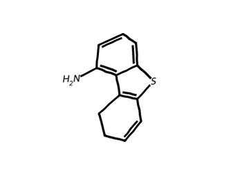 Nc1cccc2sc3c(c12)CCC=C3